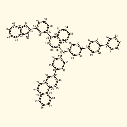 c1ccc(-c2ccc(-c3ccc(N(c4ccc(-c5ccc6c(ccc7ccccc76)c5)cc4)c4ccc(-c5cccc(-c6cc7ccccc7o6)c5)c5ccccc45)cc3)cc2)cc1